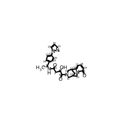 C[C@@H](NC(=O)C[C@@H](O)C(=O)N1CC2CC(C1)c1cccc(=O)n1C2)c1ccc(-n2cccn2)cc1